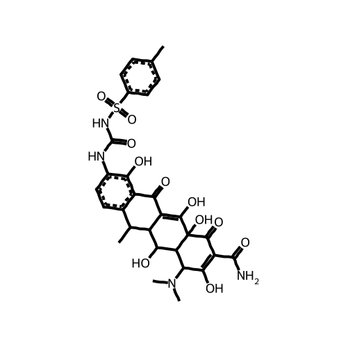 Cc1ccc(S(=O)(=O)NC(=O)Nc2ccc3c(c2O)C(=O)C2=C(O)C4(O)C(=O)C(C(N)=O)=C(O)C(N(C)C)C4C(O)C2C3C)cc1